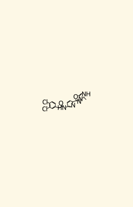 CC1NC=C2OC(c3ccc(NC(=O)Cc4ccc(Cl)c(Cl)c4)cn3)=NN21